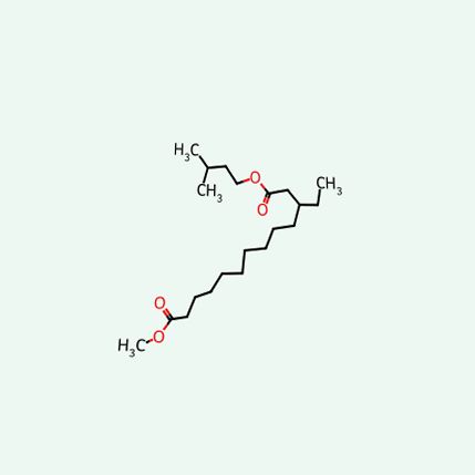 CCC(CCCCCCCCCC(=O)OC)CC(=O)OCCC(C)C